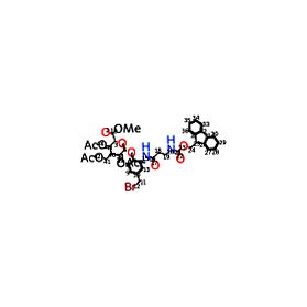 COC(=O)[C@H]1O[C@H](Oc2ccc(CBr)cc2NC(=O)CCNC(=O)OCC2c3ccccc3-c3ccccc32)[C@H](OC(C)=O)C(COC(C)=O)[C@@H]1OC(C)=O